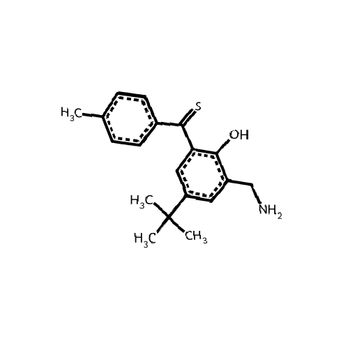 Cc1ccc(C(=S)c2cc(C(C)(C)C)cc(CN)c2O)cc1